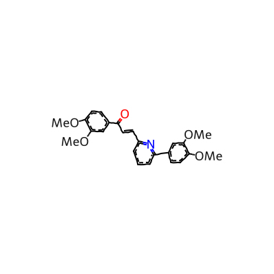 COc1ccc(C(=O)C=Cc2cccc(-c3ccc(OC)c(OC)c3)n2)cc1OC